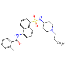 Cc1ccccc1C(=O)Nc1cccc2c(S(=O)(=O)NC3CCN(CCC(=O)O)CC3)cccc12